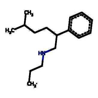 [CH2]CCNCC(CCC(C)C)c1ccccc1